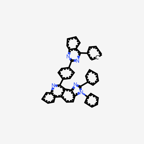 c1ccc(-c2nc(-c3ccc(-c4nc5ccccc5c5ccc6c(nc(-c7ccccc7)n6-c6ccccc6)c45)cc3)nc3ccccc23)cc1